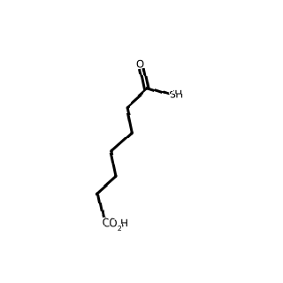 O=C(O)CCCCCC(=O)S